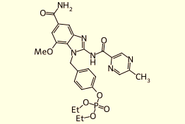 CCOP(=O)(OCC)Oc1ccc(Cn2c(NC(=O)c3cnc(C)cn3)nc3cc(C(N)=O)cc(OC)c32)cc1